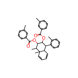 Cc1cccc(C(=O)OC2C(OC(=O)c3cccc(C)c3)C(C)C3(C)C=CC=CC3C2c2ccccc2C)c1